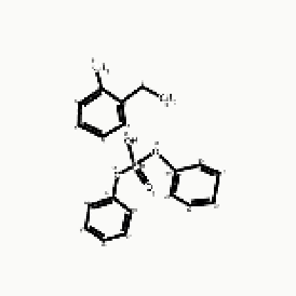 CCc1ccccc1C.O=P(O)(Oc1ccccc1)Oc1ccccc1